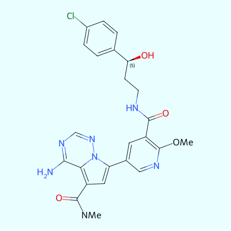 CNC(=O)c1cc(-c2cnc(OC)c(C(=O)NCC[C@H](O)c3ccc(Cl)cc3)c2)n2ncnc(N)c12